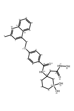 Cc1cc(COc2ccc(C(=O)NC3(CC(=O)NO)CCCS(O)(O)C3)cc2)c2ccccc2n1